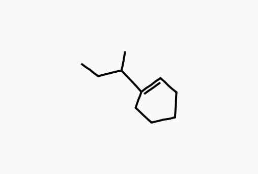 CCC(C)C1=CCCCC1